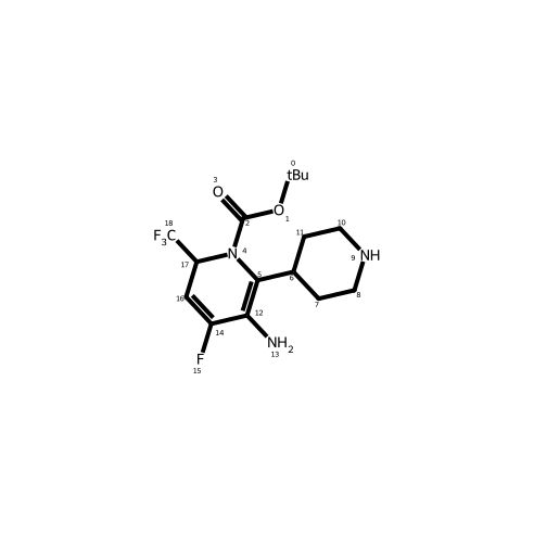 CC(C)(C)OC(=O)N1C(C2CCNCC2)=C(N)C(F)=CC1C(F)(F)F